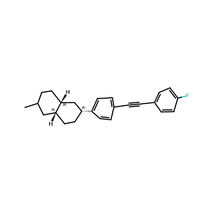 CC1CC[C@@H]2C[C@H](c3ccc(C#Cc4ccc(F)cc4)cc3)CC[C@@H]2C1